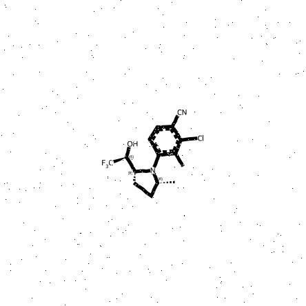 Cc1c(N2[C@H](C)CC[C@@H]2[C@H](O)C(F)(F)F)ccc(C#N)c1Cl